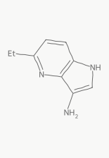 CCc1ccc2[nH]cc(N)c2n1